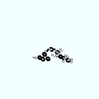 CC1CN(CC2CCN(CCOc3ccc([C@@H]4c5ccc(O)cc5CC[C@@H]4c4ccccc4)cc3)CC2)CC(C)N1c1cc2c(cc1F)C(=O)N(C1CCC(=O)NC1=O)C2=O